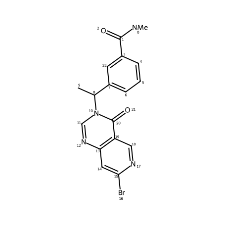 CNC(=O)c1cccc(C(C)n2cnc3cc(Br)ncc3c2=O)c1